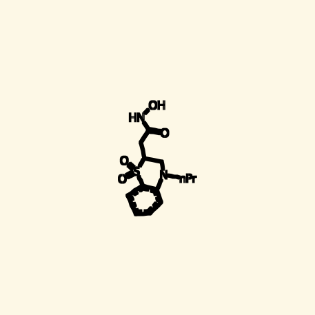 CCCN1CC(CC(=O)NO)S(=O)(=O)c2ccccc21